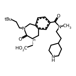 CN(CCC1CCNCC1)C(=O)c1ccc2c(c1)C[C@H](CC(=O)O)C(=O)N(CCC(C)(C)C)C2